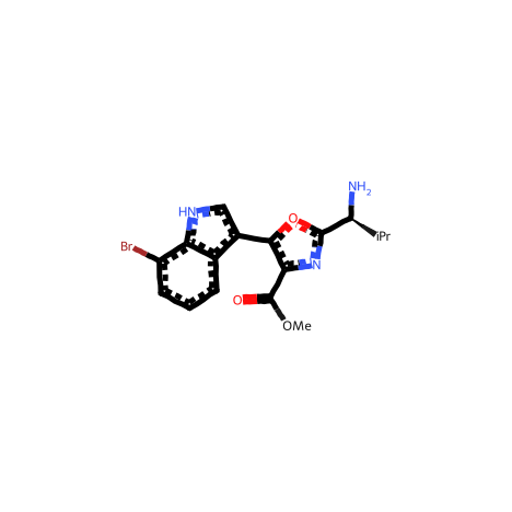 COC(=O)c1nc([C@@H](N)C(C)C)oc1-c1c[nH]c2c(Br)cccc12